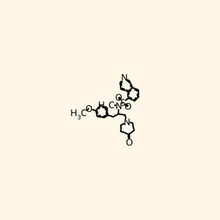 COc1ccc(CC(CN2CCC(=O)CC2)N(C)S(=O)(=O)c2cccc3cnccc23)cc1